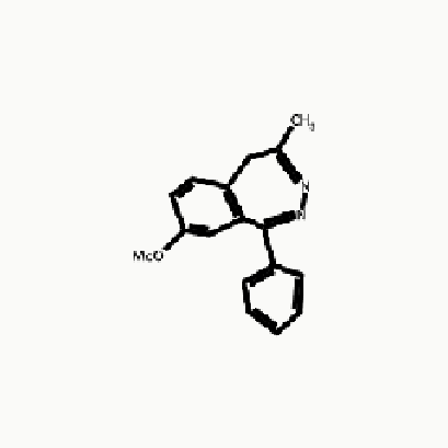 COc1ccc2c(c1)C(c1ccccc1)=NN=C(C)C2